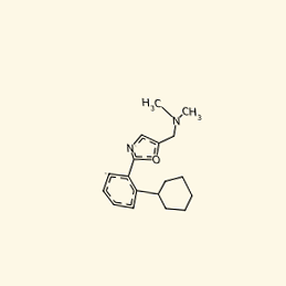 CN(C)Cc1cnc(-c2[c]cccc2C2CCCCC2)o1